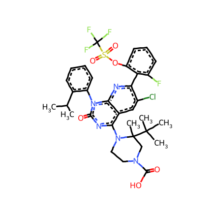 CC(C)c1ccccc1-n1c(=O)nc(N2CCN(C(=O)O)CC2(C)C(C)(C)C)c2cc(Cl)c(-c3c(F)cccc3OS(=O)(=O)C(F)(F)F)nc21